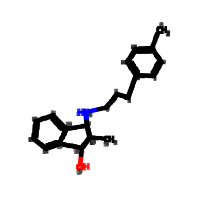 Cc1ccc(CCCNC2c3ccccc3C(O)C2C)cc1